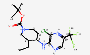 CCC1CN(C(=O)OC(C)(C)C)CCC1Nc1ncc(C(F)(F)F)nc1Cl